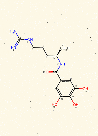 N=C(N)NCCC[C@H](NC(=O)c1cc(O)c(O)c(O)c1)C(=O)O